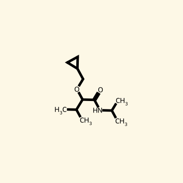 CC(C)NC(=O)C(OCC1CC1)C(C)C